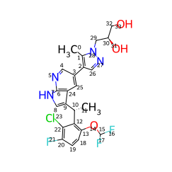 Cc1c(-c2cnc3[nH]cc([C@H](C)c4c(OC(F)F)ccc(F)c4Cl)c3c2)cnn1C[C@H](O)CO